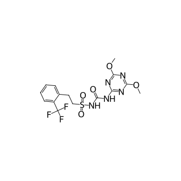 COc1nc(NC(=O)NS(=O)(=O)CCc2ccccc2C(F)(F)F)nc(OC)n1